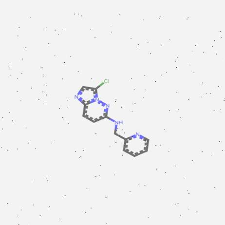 Clc1cnc2ccc(NCc3ccccn3)nn12